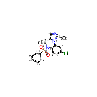 CCCCN(c1ccc(Cl)cc1-n1ccnc1CC)S(=O)(=O)c1ccccc1